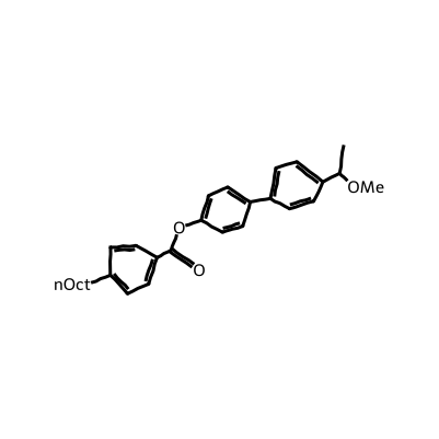 CCCCCCCCc1ccc(C(=O)Oc2ccc(-c3ccc(C(C)OC)cc3)cc2)cc1